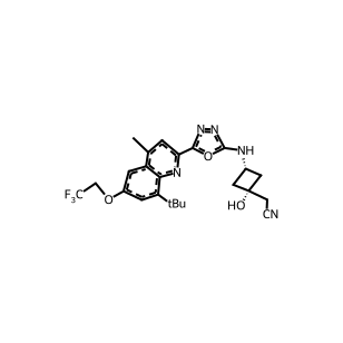 Cc1cc(-c2nnc(N[C@H]3C[C@](O)(CC#N)C3)o2)nc2c(C(C)(C)C)cc(OCC(F)(F)F)cc12